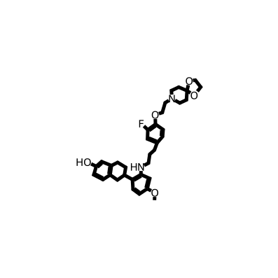 COc1ccc(C2CCc3cc(O)ccc3C2)c(NCCCc2ccc(OCCN3CCC4(CC3)OCCO4)c(F)c2)c1